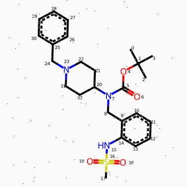 CC(C)(C)OC(=O)N(Cc1ccccc1NS(C)(=O)=O)C1CCN(Cc2ccccc2)CC1